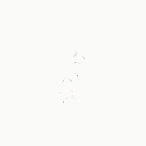 CCOc1ccc(Oc2ncc(/C=N\OC[C@H](C)N(C(=O)O)C(C)(C)C)s2)c(Br)c1